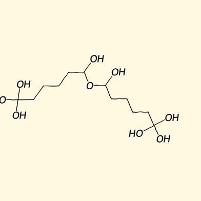 OC(CCCCC(O)(O)O)OC(O)CCCCC(O)(O)O